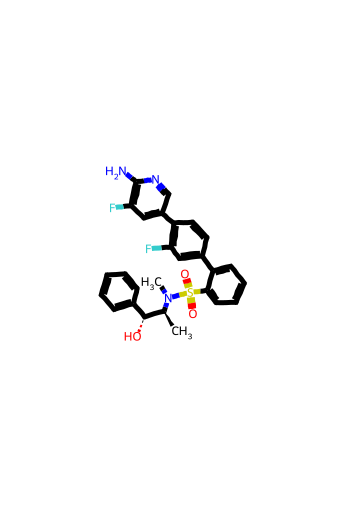 C[C@@H]([C@H](O)c1ccccc1)N(C)S(=O)(=O)c1ccccc1-c1ccc(-c2cnc(N)c(F)c2)c(F)c1